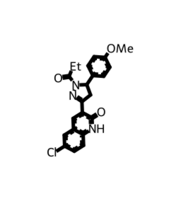 CCC(=O)N1N=C(c2cc3cc(Cl)ccc3[nH]c2=O)CC1c1ccc(OC)cc1